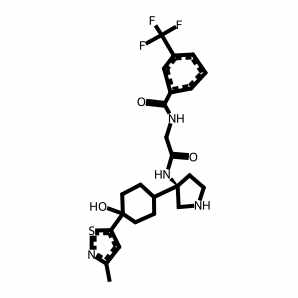 Cc1cc(C2(O)CCC([C@]3(NC(=O)CNC(=O)c4cccc(C(F)(F)F)c4)CCNC3)CC2)sn1